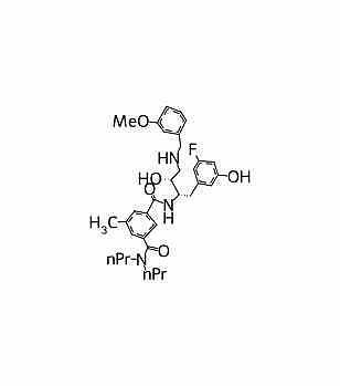 CCCN(CCC)C(=O)c1cc(C)cc(C(=O)N[C@@H](Cc2cc(O)cc(F)c2)[C@H](O)CNCc2cccc(OC)c2)c1